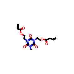 C=CCC(=O)OCCn1c(=O)n(C)c(=O)n(CCOC(=O)C=C)c1=O